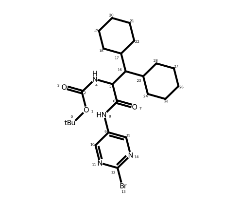 CC(C)(C)OC(=O)NC(C(=O)Nc1cnc(Br)nc1)C(C1CCCCC1)C1CCCCC1